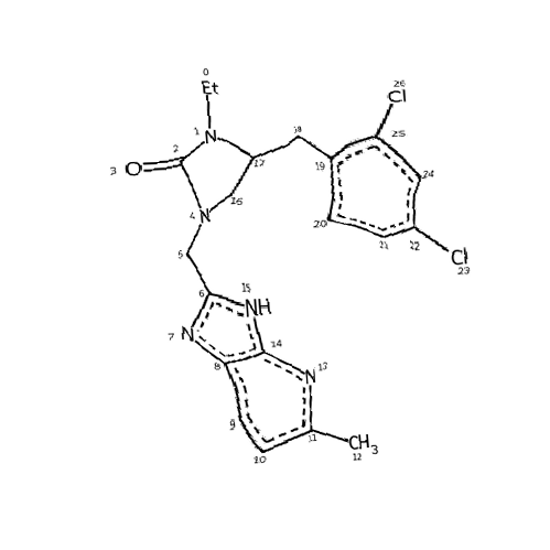 CCN1C(=O)N(Cc2nc3ccc(C)nc3[nH]2)CC1Cc1ccc(Cl)cc1Cl